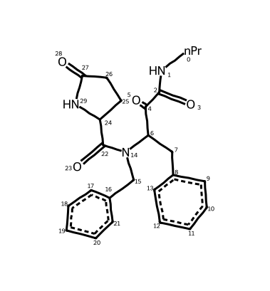 CCCNC(=O)C(=O)C(Cc1ccccc1)N(Cc1ccccc1)C(=O)C1CCC(=O)N1